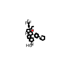 CCC(=O)[C@@]1(C#CC(F)(F)F)CC[C@H]2[C@@H]3CCC4=CC(=NO)CCC4=C3[C@@H](c3ccc(N4CCCCC4)cc3)C[C@@]21C